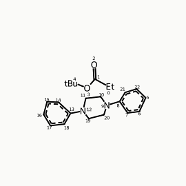 CCC(=O)OC(C)(C)C.c1ccc(N2CCN(c3ccccc3)CC2)cc1